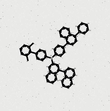 Cc1cccc(C)c1-c1ccc(N(c2ccc(-c3ccc(-c4ccccc4)c4ccccc34)cc2)c2cc(-c3cccc4ccccc34)c3ccccc3c2)cc1